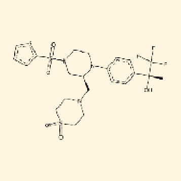 C[C@@](O)(c1ccc(N2CCN(S(=O)(=O)c3cccs3)C[C@@H]2CN2CCS(=O)(=O)CC2)cc1)C(F)(F)F